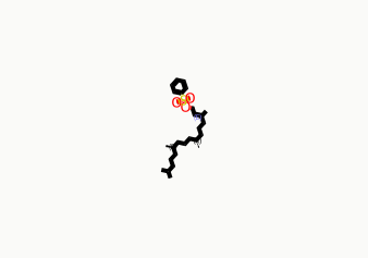 C/C(=C\COS(=O)(=O)c1ccccc1)CCC[C@H](C)CCC[C@H](C)CCCC(C)C